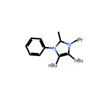 CCCCC1=C(CCCC)N(C(C)C)C(C)N1c1ccccc1